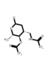 C[C@@H]1OC(Cl)C[C@H](CNC(=O)C(F)(F)F)[C@H]1OC(=O)C(F)(F)F